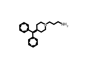 NCCCN1CCC(=C(c2ccccc2)c2ccccc2)CC1